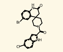 O=C1CC2(CCN(C(=O)c3cc4cc(Cl)ccc4[nH]3)CC2)c2cc(Br)ccc2N1